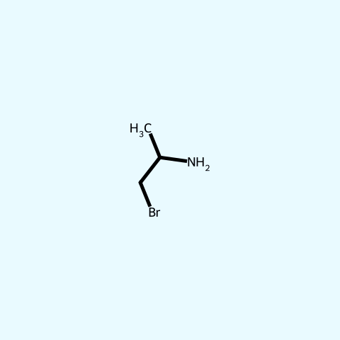 CC(N)CBr